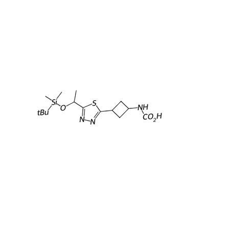 CC(O[Si](C)(C)C(C)(C)C)c1nnc(C2CC(NC(=O)O)C2)s1